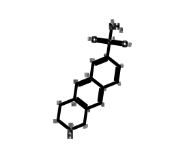 NS(=O)(=O)c1ccc2cc3c(cc2c1)CCNC3